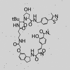 Cc1ncsc1-c1ccc(CNC(=O)[C@@H]2C[C@@H](O)CN2C(=O)C(NC(=O)CCCNC(=O)COc2ccc3c(c2)[C@H](NC(=O)c2cc(-c4ccc(C(=O)N(C)C)c(O)c4)on2)CC3)C(C)(C)C)cc1